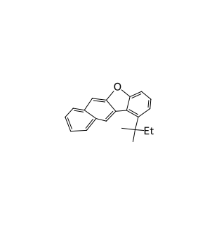 CCC(C)(C)c1cccc2oc3cc4ccccc4cc3c12